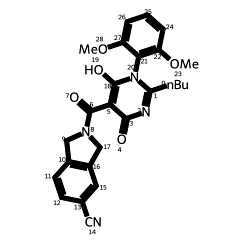 CCCCc1nc(=O)c(C(=O)N2Cc3ccc(C#N)cc3C2)c(O)n1-c1c(OC)cccc1OC